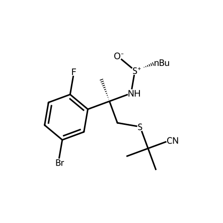 CCCC[S@@+]([O-])N[C@@](C)(CSC(C)(C)C#N)c1cc(Br)ccc1F